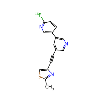 Cc1nc(C#Cc2cncc(-c3ccc([16F])nc3)c2)cs1